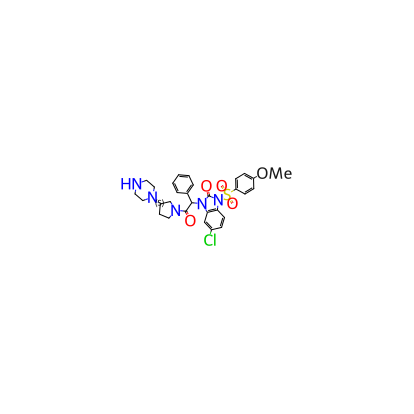 COc1ccc(S(=O)(=O)n2c(=O)n(C(C(=O)N3CC[C@H](N4CCNCC4)C3)c3ccccc3)c3cc(Cl)ccc32)cc1